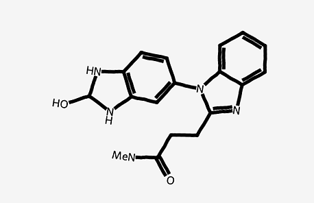 CNC(=O)CCc1nc2ccccc2n1-c1ccc2c(c1)NC(O)N2